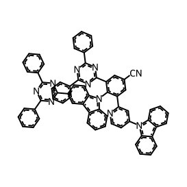 N#Cc1cc(-c2cc(-n3c4ccccc4c4ccccc43)ccn2)c(-n2c3ccccc3c3cc(-c4nc(-c5ccccc5)nc(-c5ccccc5)n4)ccc32)c(-c2nc(-c3ccccc3)nc(-c3ccccc3)n2)c1